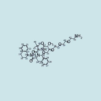 COCC(=O)N[C@H](C(=O)N1C(C(=O)N[C@@H]2CCCc3ccccc32)Cc2ccccc2C1OCCOCCOCCOCCN)C(C)(C)C